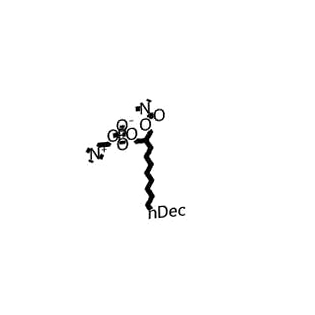 CCCCCCCCCCCCCCCCCCC(COC(=O)N(C)C)COP(=O)([O-])OCC[N+](C)(C)C